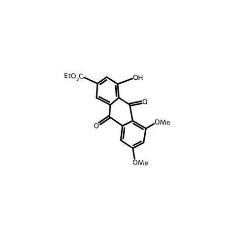 CCOC(=O)c1cc(O)c2c(c1)C(=O)c1cc(OC)cc(OC)c1C2=O